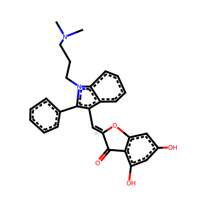 CN(C)CCCn1c(-c2ccccc2)c(/C=C2\Oc3cc(O)cc(O)c3C2=O)c2ccccc21